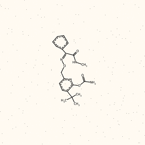 CNC(=O)C(=NOCc1ccc(C(C)(C)C)c(OC(N)=O)n1)c1ccccc1